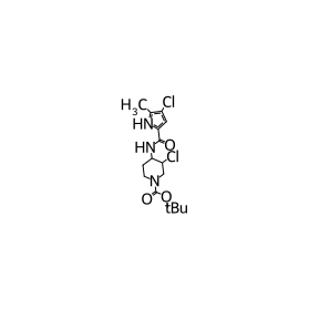 Cc1[nH]c(C(=O)NC2CCN(C(=O)OC(C)(C)C)CC2Cl)cc1Cl